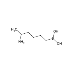 CC(N)CCCCB(O)O